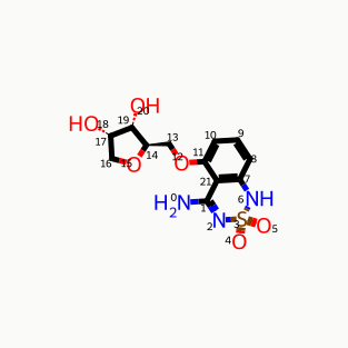 NC1=NS(=O)(=O)Nc2cccc(OC[C@H]3OC[C@H](O)[C@@H]3O)c21